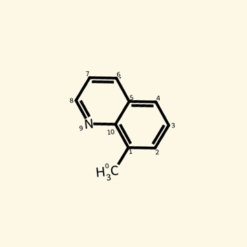 Cc1cccc2[c]ccnc12